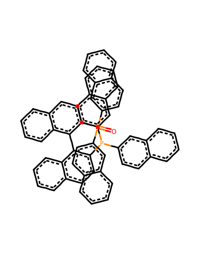 O=P(c1ccc2ccccc2c1)(c1ccc2ccccc2c1)c1ccc2ccccc2c1-c1c(P(c2ccc3ccccc3c2)c2ccc3ccccc3c2)ccc2ccccc12